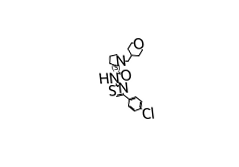 O=C(Nc1nc(-c2ccc(Cl)cc2)cs1)[C@@H]1CCCN1CC1CCOCC1